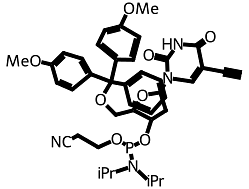 C#Cc1cn(C2CC(OP(OCCC#N)N(C(C)C)C(C)C)C(COC(c3ccccc3)(c3ccc(OC)cc3)c3ccc(OC)cc3)O2)c(=O)[nH]c1=O